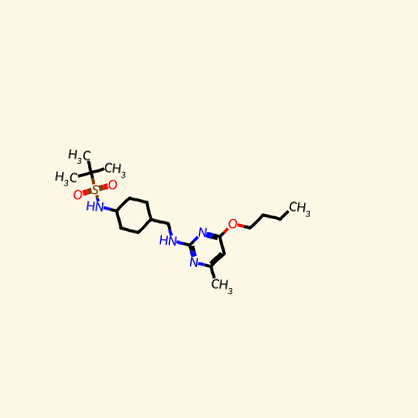 CCCCOc1cc(C)nc(NCC2CCC(NS(=O)(=O)C(C)(C)C)CC2)n1